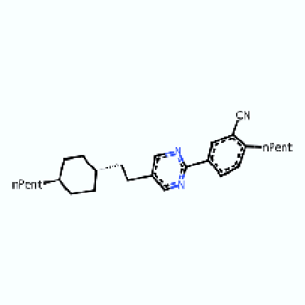 CCCCCc1ccc(-c2ncc(CC[C@H]3CC[C@H](CCCCC)CC3)cn2)cc1C#N